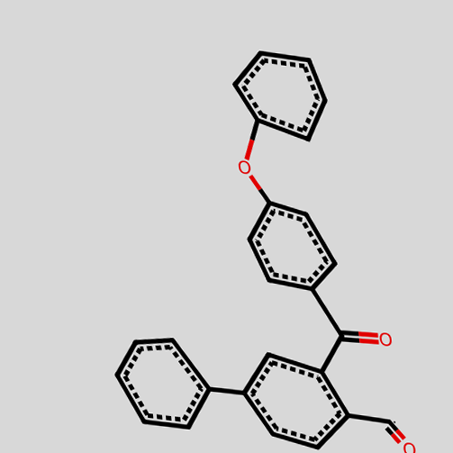 O=[C]c1ccc(-c2ccccc2)cc1C(=O)c1ccc(Oc2ccccc2)cc1